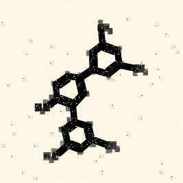 Cc1cc(C)cc(-c2ccc(N)c(-c3cc(C)cc(C)c3)c2)c1